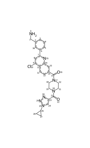 NCc1cccc(-c2cc(Cl)c3ccc(C(=O)N4CCN(C(=O)c5cn(C6CC6)nn5)CC4)cc3n2)c1